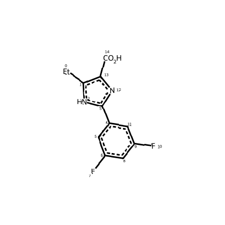 CCc1[nH]c(-c2cc(F)cc(F)c2)nc1C(=O)O